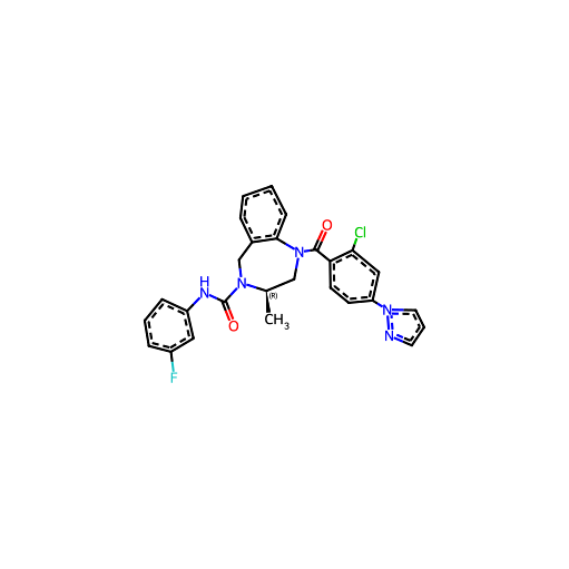 C[C@@H]1CN(C(=O)c2ccc(-n3cccn3)cc2Cl)c2ccccc2CN1C(=O)Nc1cccc(F)c1